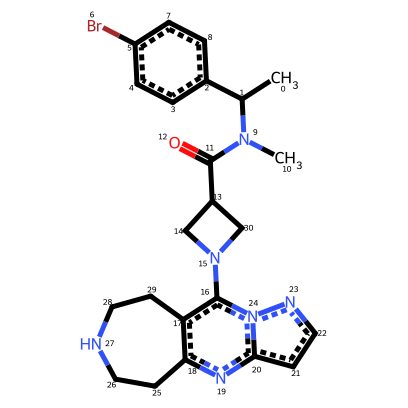 CC(c1ccc(Br)cc1)N(C)C(=O)C1CN(c2c3c(nc4ccnn24)CCNCC3)C1